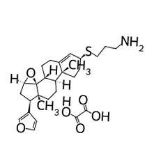 C[C@]12CC[C@H](SCCCN)C=C1CC[C@@H]1[C@@H]2CC[C@]2(C)[C@@H](c3ccoc3)C[C@H]3O[C@]132.O=C(O)C(=O)O